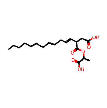 CCCCCCCCCCC=CC(CC(=O)O)C(=O)OC(C)C(=O)O